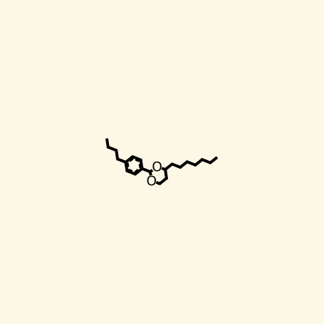 CCCCCCCC1CCOC(c2ccc(CCCC)cc2)O1